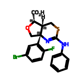 O=C(O)[C@H]1OC[C@]2(c3cc(Br)ccc3F)N=C(Nc3ccccc3)SC[C@H]12